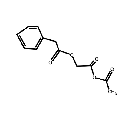 CC(=O)OC(=O)COC(=O)Cc1ccccc1